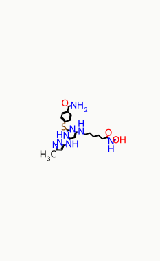 Cc1cc(Nc2cc(NCCCCCC(=O)NO)nc(Sc3ccc(C(N)=O)cc3)n2)[nH]n1